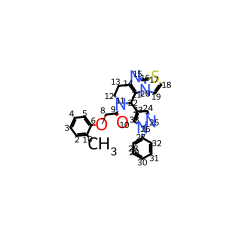 Cc1ccccc1OCC(=O)N1CCc2nc3sccn3c2C1c1cnn(-c2ccccc2)c1